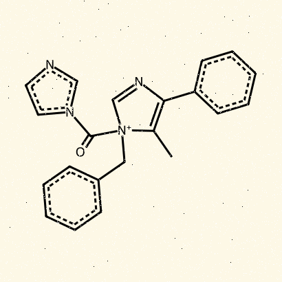 CC1=C(c2ccccc2)N=C[N+]1(Cc1ccccc1)C(=O)n1ccnc1